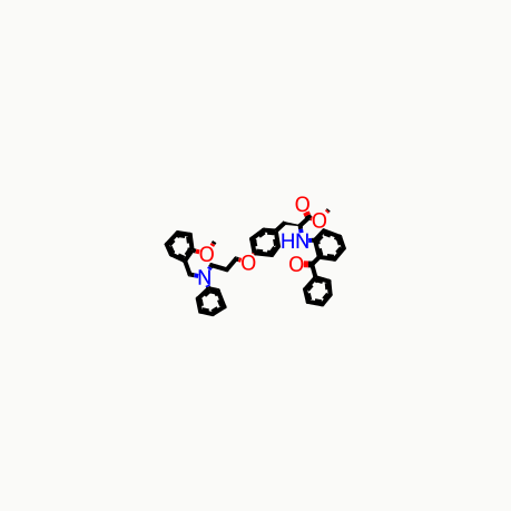 COC(=O)[C@H](Cc1ccc(OCCCN(Cc2ccccc2OC)c2ccccc2)cc1)Nc1ccccc1C(=O)c1ccccc1